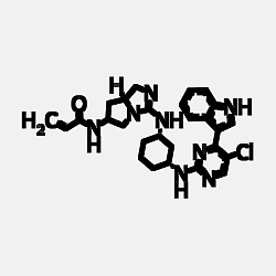 C=CC(=O)NC1C[C@@H]2CN=C(N[C@H]3CCC[C@@H](Nc4ncc(Cl)c(-c5c[nH]c6ccccc56)n4)C3)N2C1